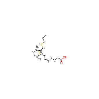 CCCSC[C@H]1[C@@H](C/C=C\CCCC(=O)O)[C@H]2CC[C@@H]1S2